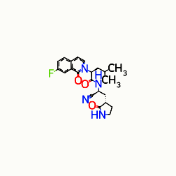 CC(C)C[C@@H](C(=O)N[C@H](C#N)C[C@@H]1CCNC1=O)n1ccc2ccc(F)cc2c1=O